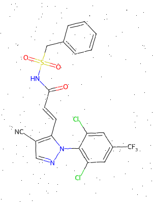 N#Cc1cnn(-c2c(Cl)cc(C(F)(F)F)cc2Cl)c1C=CC(=O)NS(=O)(=O)Cc1ccccc1